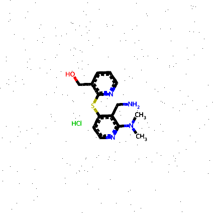 CN(C)c1nccc(Sc2ncccc2CO)c1CN.Cl